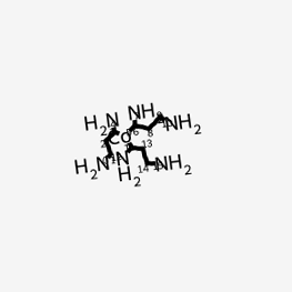 NCC[CH](N)[Co]([CH](N)CCN)[CH](N)CCN